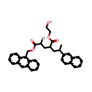 CCC(CC(CC(C)c1ccc2ccccc2c1)C(=O)OCCO)C(=O)OCc1c2ccccc2cc2ccccc12